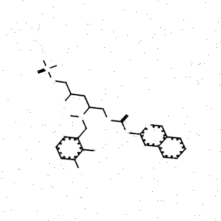 CN(Cc1cccc(F)c1F)C(COC(=O)Nc1cc2ccccc2cn1)CC(O)COP(=O)(O)O